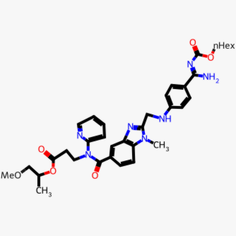 CCCCCCOC(=O)N=C(N)c1ccc(NCc2nc3cc(C(=O)N(CCC(=O)OC(C)COC)c4ccccn4)ccc3n2C)cc1